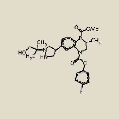 COC(=O)N1c2ccc(C3CNN(C(C)(C)CO)C3)cc2N(C(=O)Oc2ccc(F)cc2)C[C@@H]1C